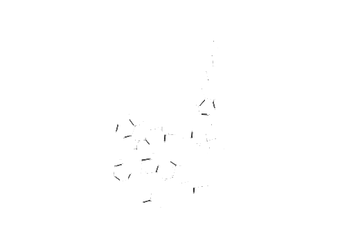 CCCCCCCCc1ccc(CCC(CO)(CO)NC(=O)CCC(=O)N[C@@H](Cc2ccccc2)C(=O)N[C@@H](Cc2ccccc2)C(=O)N[C@@H](CCC(=O)O)C(=O)N[C@@H](CCC(=O)O)C(=O)O)cc1